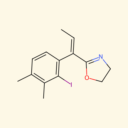 C/C=C(/C1=NCCO1)c1ccc(C)c(C)c1I